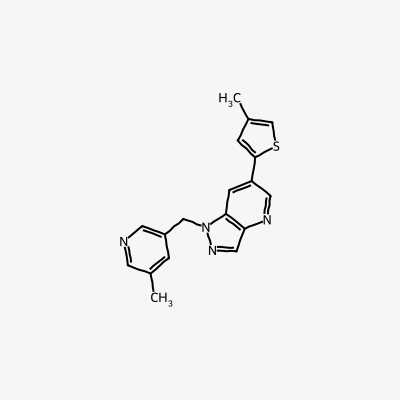 Cc1cncc(Cn2ncc3ncc(-c4cc(C)cs4)cc32)c1